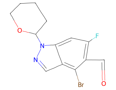 O=Cc1c(F)cc2c(cnn2C2CCCCO2)c1Br